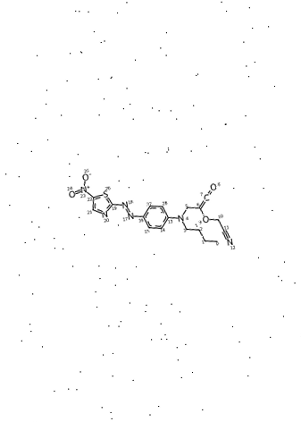 CCCCN(CC(=C=O)OCC#N)c1ccc(N=Nc2ncc([N+](=O)[O-])s2)cc1